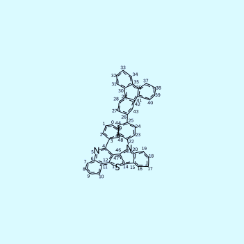 c1ccc(-c2nc3ccccc3c3sc4c5ccccc5n(-c5ccc(-c6ccc7c8ccccc8c8ccccc8c7c6)cc5)c4c23)cc1